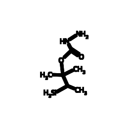 CC([SiH3])C(C)(C)OC(=O)NN